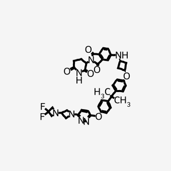 CC(C)(c1ccc(Oc2ccc(N3CC(N4CC(F)(F)C4)C3)nn2)cc1)c1ccc(O[C@H]2C[C@H](Nc3ccc4c(c3)C(=O)N(C3CCC(=O)NC3=O)C4=O)C2)cc1